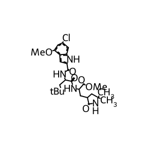 COC(=O)C(CC1CC(C)(C)NC1=O)NC(=O)C(CC(C)(C)C)NC(=O)c1cc2c(OC)cc(Cl)cc2[nH]1